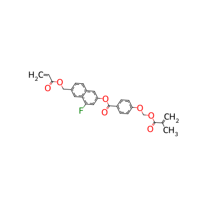 C=CC(=O)OCc1ccc2cc(OC(=O)c3ccc(OCOC(=O)C(=C)C)cc3)cc(F)c2c1